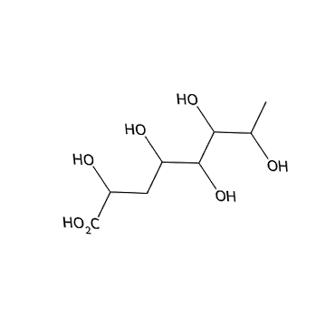 CC(O)C(O)C(O)C(O)CC(O)C(=O)O